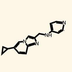 [c]1cc(NCc2cn3cc(C4CC4)ccc3n2)ccn1